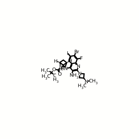 CN(C)C1CN(c2nc3c(F)c(Br)c(I)cc3c(N[C@@H]3[C@@H]4C[C@H]3N(C(=O)OC(C)(C)C)C4)c2N)C1